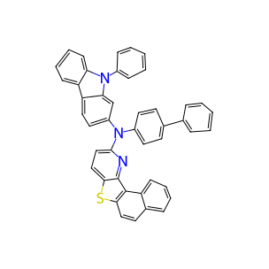 c1ccc(-c2ccc(N(c3ccc4c5ccccc5n(-c5ccccc5)c4c3)c3ccc4sc5ccc6ccccc6c5c4n3)cc2)cc1